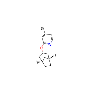 CCc1ccnc(O[C@@H]2C[C@@H]3CC[C@@H](C3)C2)c1